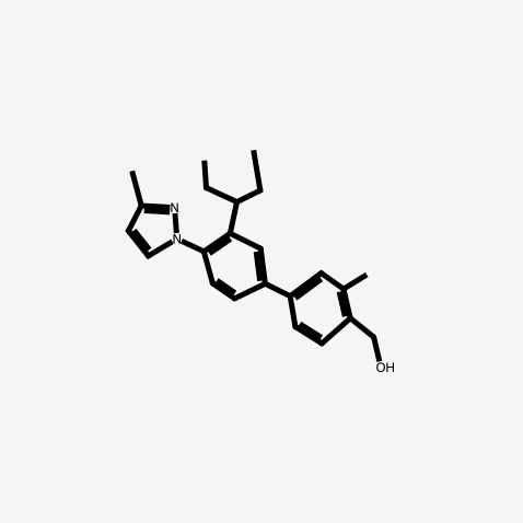 CCC(CC)c1cc(-c2ccc(CO)c(C)c2)ccc1-n1ccc(C)n1